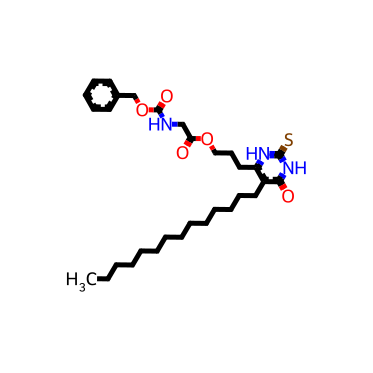 CCCCCCCCCCCCCCc1c(CCCOC(=O)CNC(=O)OCc2ccccc2)[nH]c(=S)[nH]c1=O